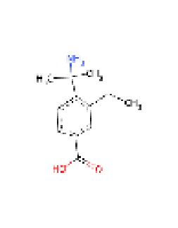 CCc1cc(C(=O)O)ccc1C(C)(C)N